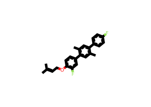 CC(C)=CCOc1ccc(-c2cc(C)c(-c3ccc(F)cc3)cc2C)cc1F